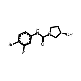 O=C(Nc1ccc(Br)c(F)c1)N1CC[C@@H](O)C1